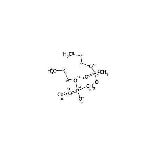 CCCOP(C)(=O)[O-].CCCOP(C)(=O)[O-].[Co+2]